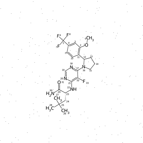 COc1cc(C(F)(F)F)ccc1C1CCCN1c1ncnc(N[C@H](CC(C)(C)C)C(N)=O)c1F